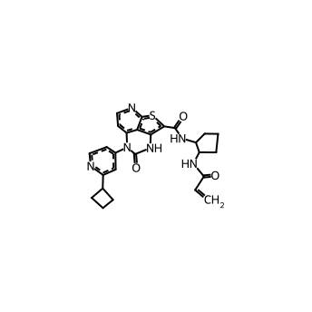 C=CC(=O)NC1CCCC1NC(=O)c1sc2nccc3c2c1NC(=O)N3c1ccnc(C2CCC2)c1